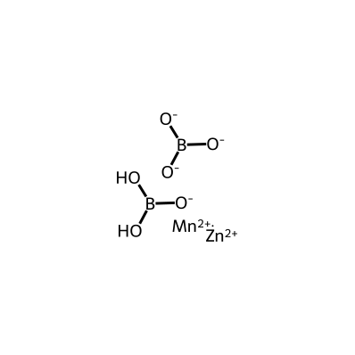 [Mn+2].[O-]B(O)O.[O-]B([O-])[O-].[Zn+2]